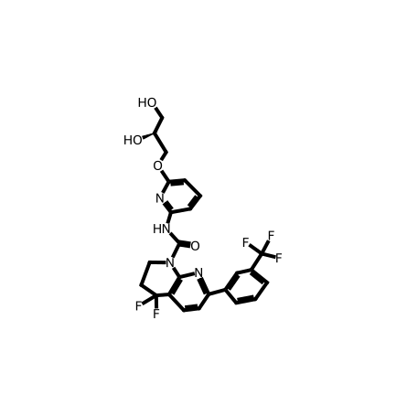 O=C(Nc1cccc(OC[C@@H](O)CO)n1)N1CCC(F)(F)c2ccc(-c3cccc(C(F)(F)F)c3)nc21